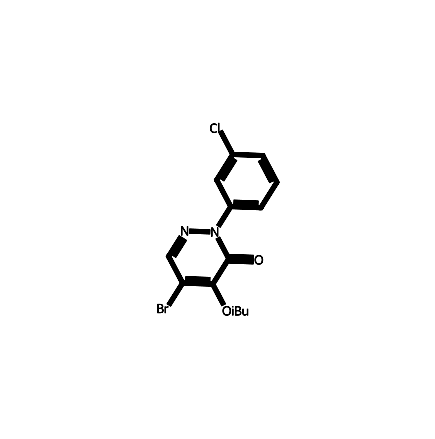 CC(C)COc1c(Br)cnn(-c2cccc(Cl)c2)c1=O